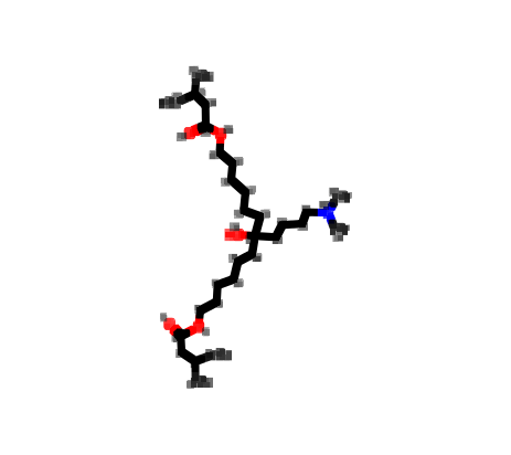 CCCCC(CCCC)CC(=O)OCCCCCCC(O)(CCCCCCOC(=O)CC(CCCC)CCCC)CCCCN(CCC)CCC